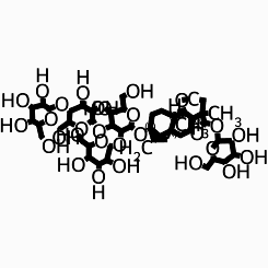 C=C1C[C@@]23CC[C@@H]4C(C)(C(=O)OC5OC(CO)C(O)C(O)C5O)CCO[C@@]4(C)[C@@H]2CC[C@]1(OC1OC(CO)C(O)C(OC2OC(CO)C(OC4OC(CO)C(O)C(O)C4O)C(O)C2O)C1OC1OC(CO)C(O)C(O)C1O)C3